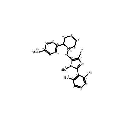 CCCCn1c(-c2c(CC)cccc2CC)nc(Cl)c1CN1CCCCC1c1ccc(OC)cc1